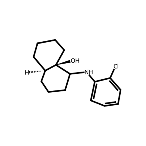 O[C@]12CCCC[C@@H]1CCCC2Nc1ccccc1Cl